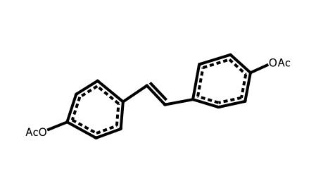 CC(=O)Oc1ccc(C=Cc2ccc(OC(C)=O)cc2)cc1